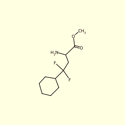 COC(=O)C(N)CC(F)(F)C1CCCCC1